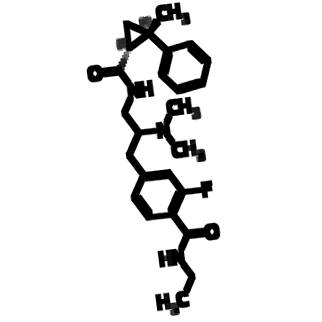 CCNC(=O)c1ccc(CC(CNC(=O)[C@@H]2C[C@]2(C)c2ccccc2)N(C)C)cc1F